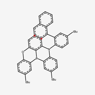 CC(C)(C)c1ccc2c(c1)B1c3cc(C(C)(C)C)ccc3N(c3ccc(C(C)(C)C)cc3-c3cccc4ccccc34)c3cccc(c31)O2